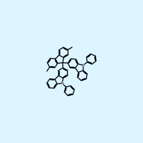 Cc1ccc2c(c1)C(c1ccc3c(c1)c1ccccc1n3-c1ccccc1)(c1ccc3c(c1)c1ccccc1n3-c1ccccc1)c1cc(C)ccc1-2